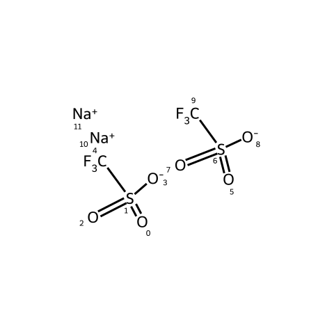 O=S(=O)([O-])C(F)(F)F.O=S(=O)([O-])C(F)(F)F.[Na+].[Na+]